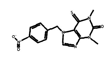 Cn1c(=S)c2c(ncn2Cc2ccc([N+](=O)[O-])cc2)n(C)c1=O